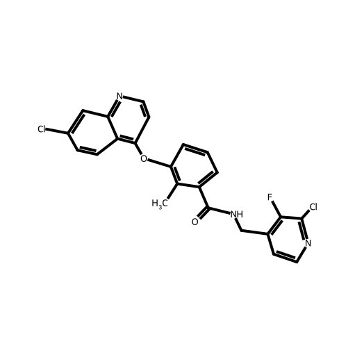 Cc1c(Oc2ccnc3cc(Cl)ccc23)cccc1C(=O)NCc1ccnc(Cl)c1F